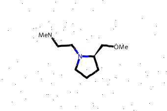 CNCCN1CCC[C@@H]1COC